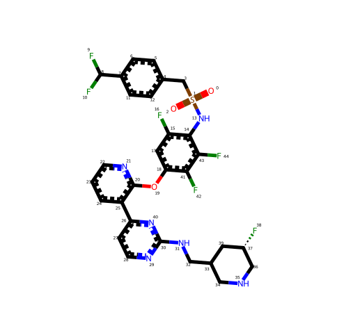 O=S(=O)(Cc1ccc(C(F)F)cc1)Nc1c(F)cc(Oc2ncccc2-c2ccnc(NCC3CNC[C@@H](F)C3)n2)c(F)c1F